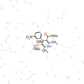 COC(=O)C1=C(C)NC(C)=C(P(=O)(OCC(C)C)OCC(C)C)C1c1cccc([N+](=O)[O-])c1